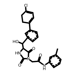 Cc1cccc(NC(=O)CN2C(=O)NC(C(O)c3cccc(C4=CC=C(Cl)CC4)c3)C2=O)c1